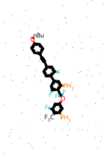 CCCCOc1ccc(C#Cc2ccc(-c3cc(F)c(C(F)(F)Oc4cc(F)c(C(F)(F)F)c(P)c4)c(P)c3)c(F)c2)cc1